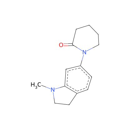 CN1CCc2ccc(N3CCCCC3=O)cc21